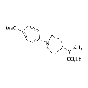 CCOC(=O)C(C)C1CCN(c2ccc(OC)cc2)CC1